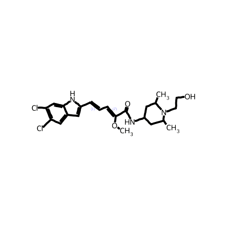 CO/C(=C\C=C\c1cc2cc(Cl)c(Cl)cc2[nH]1)C(=O)NC1CC(C)N(CCO)C(C)C1